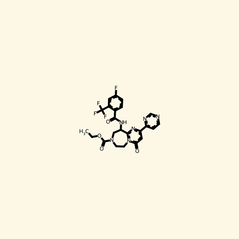 CCOC(=O)N1CCn2c(nc(-c3ccncn3)cc2=O)C(NC(=O)c2ccc(F)cc2C(F)(F)F)C1